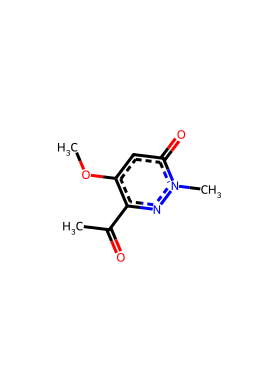 COc1cc(=O)n(C)nc1C(C)=O